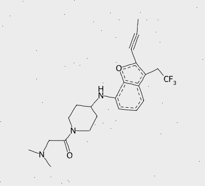 CC#Cc1oc2c(NC3CCN(C(=O)CN(C)C)CC3)cccc2c1CC(F)(F)F